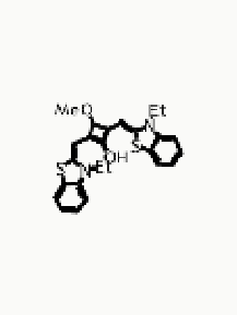 CCN1C(=CC2=C(O)C(C=C3Sc4ccccc4N3CC)C2OC)Sc2ccccc21